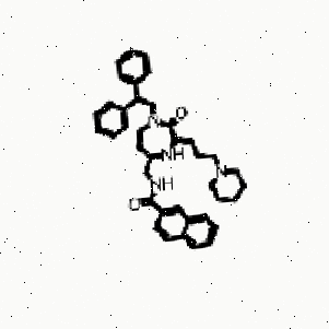 O=C(NCC1CCN(CC(c2ccccc2)c2ccccc2)C(=O)C(CCCN2CCCCC2)N1)c1ccc2ccccc2c1